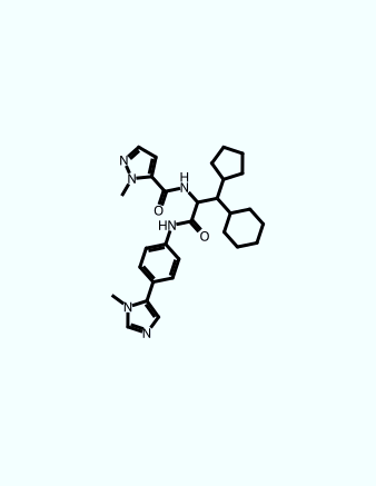 Cn1cncc1-c1ccc(NC(=O)C(NC(=O)c2ccnn2C)C(C2CCCCC2)C2CCCC2)cc1